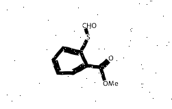 COC(=O)c1ccccc1SC=O